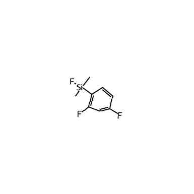 C[Si](C)(F)c1ccc(F)cc1F